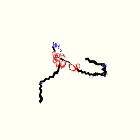 CCCCC/C=C\C/C=C\C/C=C\CCCCCCC(=O)OC[C@H](COP(=O)(O)OCCN)OC(=O)CCCCCCC/C=C\CCCCCC